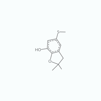 CSc1cc(O)c2c(c1)CC(C)(C)O2